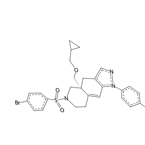 O=S(=O)(c1ccc(Br)cc1)N1CCC2=Cc3c(cnn3-c3ccc(F)cc3)C[C@]2(COCC2CC2)C1